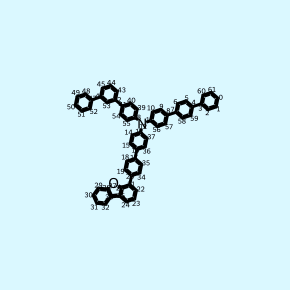 c1ccc(-c2ccc(-c3ccc(N(c4ccc(-c5ccc(-c6cccc7c6oc6ccccc67)cc5)cc4)c4ccc(-c5cccc(-c6ccccc6)c5)cc4)cc3)cc2)cc1